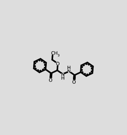 CCOC(NNC(=O)c1ccccc1)C(=O)c1ccccc1